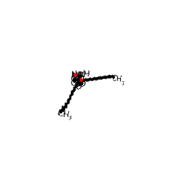 CCCCCCCCCCCCCCCCC(CCCCCCCCCCCCCCCC)(C(=O)[O-])C(C(=O)[O-])S(=O)(=O)O.[Na+].[Na+]